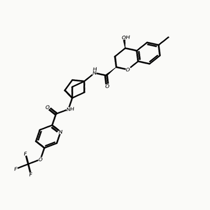 Cc1ccc2c(c1)[C@H](O)C[C@H](C(=O)NC13CCC(NC(=O)c4ccc(OC(F)(F)F)cn4)(C1)C3)O2